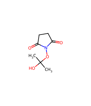 CC(C)(O)ON1C(=O)CCC1=O